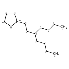 CCCCC(CCCC)CCN1CCCC1